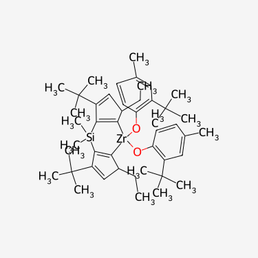 CCC1C=C(C(C)(C)C)C2=[C]1[Zr]([O]c1ccc(C)cc1C(C)(C)C)([O]c1ccc(C)cc1C(C)(C)C)[C]1=C(C(C(C)(C)C)=CC1CC)[Si]2(C)C